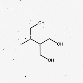 [CH2]C(CO)C(CO)CO